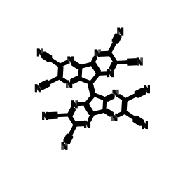 N#Cc1nc2c(nc1C#N)-c1nc(C#N)c(C#N)nc1C2=C1c2nc(C#N)c(C#N)nc2-c2nc(C#N)c(C#N)nc21